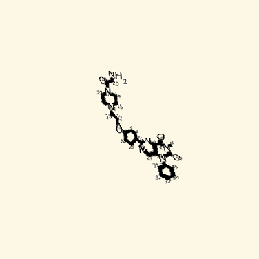 Cn1c(=O)c2nc(-c3ccc(OCCN4CCN(C(=O)CN)CC4)cc3)ncc2n(-c2ccccc2)c1=O